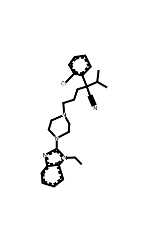 CCn1c(N2CCN(CCCC(C#N)(c3ccccc3Cl)C(C)C)CC2)nc2ccccc21